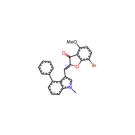 COc1ccc(Br)c2c1C(=O)/C(=C/c1cn(C)c3cccc(-c4ccccc4)c13)O2